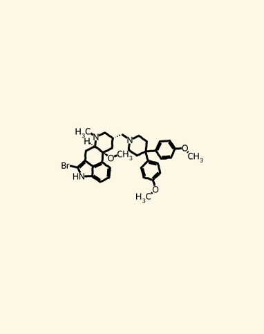 COc1ccc(C2(c3ccc(OC)cc3)CCN(C[C@H]3CN(C)[C@@H]4Cc5c(Br)[nH]c6cccc(c56)[C@@]4(OC)C3)CC2)cc1